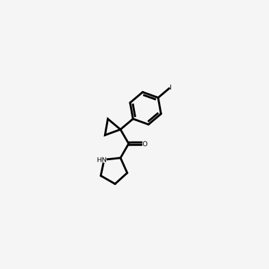 O=C(C1CCCN1)C1(c2ccc(I)cc2)CC1